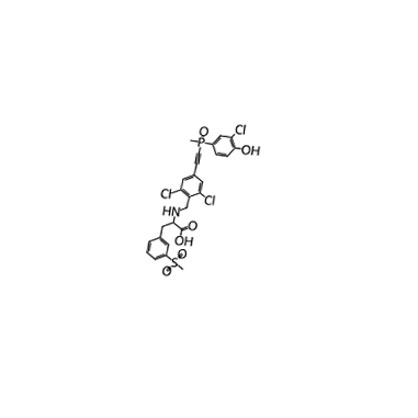 CP(=O)(C#Cc1cc(Cl)c(CNC(Cc2cccc(S(C)(=O)=O)c2)C(=O)O)c(Cl)c1)c1ccc(O)c(Cl)c1